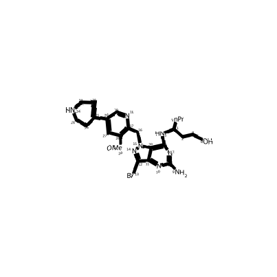 CCCC(CCO)Nc1nc(N)nc2c(Br)nn(Cc3ncc(C4=CCNCC4)cc3OC)c12